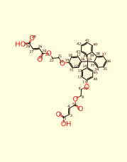 O=C(O)/C=C/C(=O)OCCOc1ccc(C2(c3ccc(OCCOC(=O)/C=C/C(=O)O)cc3)c3ccccc3-c3ccccc32)cc1